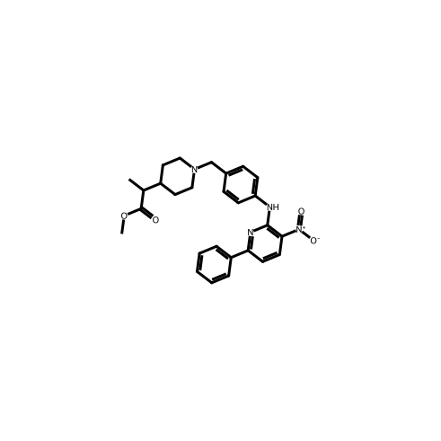 COC(=O)C(C)C1CCN(Cc2ccc(Nc3nc(-c4ccccc4)ccc3[N+](=O)[O-])cc2)CC1